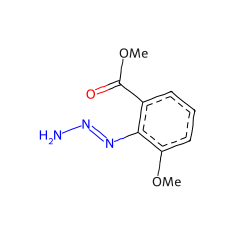 COC(=O)c1cccc(OC)c1N=NN